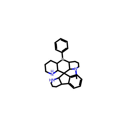 CN1CCCC2B(c3ccccc3)C3CCCNC3C3(c4ccccc4C4CCCNC43)C21